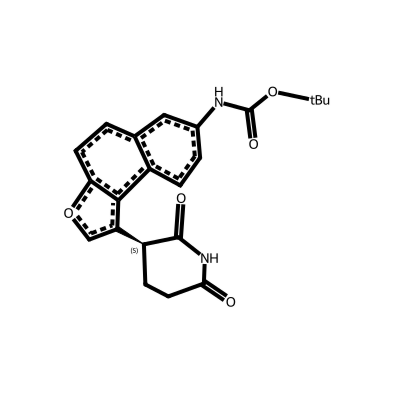 CC(C)(C)OC(=O)Nc1ccc2c(ccc3occ([C@@H]4CCC(=O)NC4=O)c32)c1